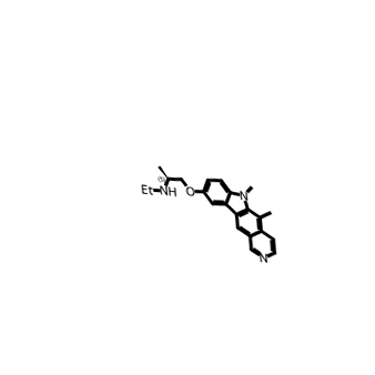 CCN[C@@H](C)COc1ccc2c(c1)c1cc3cnccc3c(C)c1n2C